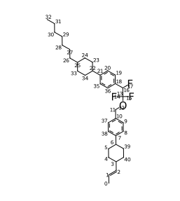 CC=CC1CCC(c2ccc(COC(F)(F)C(F)c3ccc(C4CCC(CCCCCCC)CC4)cc3)cc2)CC1